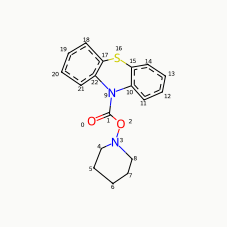 O=C(ON1CCCCC1)N1c2ccccc2Sc2ccccc21